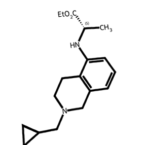 CCOC(=O)[C@H](C)Nc1cccc2c1CCN(CC1CC1)C2